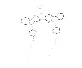 CCCCCCCCc1ccc(-n2c3ccccc3c3cc4c(cc32)-c2cc3c(cc2C4(CC)CC)c2ccccc2n3-c2ccc(CCCCCCCC)cc2)cc1